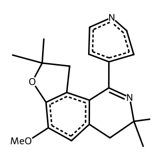 COc1cc2c(c3c1OC(C)(C)C3)C(c1ccncc1)=NC(C)(C)C2